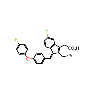 CC(C)CC1=C(CC(=O)O)c2cc(F)ccc2/C1=C\c1ccc(Oc2ccc(F)cc2)cc1